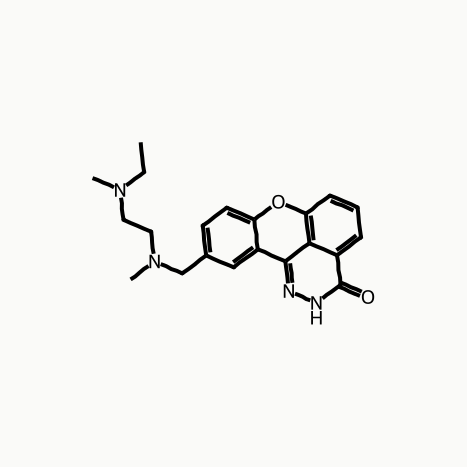 CCN(C)CCN(C)Cc1ccc2c(c1)-c1n[nH]c(=O)c3cccc(c13)O2